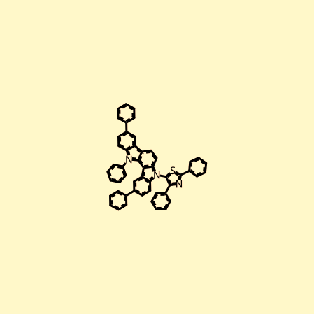 c1ccc(-c2ccc3c(c2)c2c(ccc4c5cc(-c6ccccc6)ccc5n(-c5ccccc5)c42)n3-c2sc(-c3ccccc3)nc2-c2ccccc2)cc1